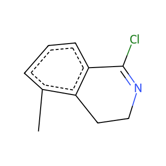 Cc1cccc2c1CCN=C2Cl